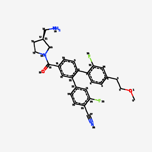 COCCc1ccc(-c2ccc(C(=O)N3CC[C@@H](CN)C3)cc2-c2ccc(C#N)c(F)c2)c(F)c1